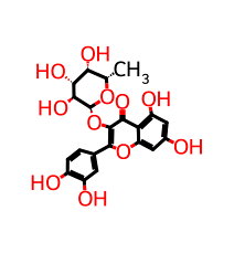 C[C@@H]1O[C@H](Oc2c(-c3ccc(O)c(O)c3)oc3cc(O)cc(O)c3c2=O)[C@@H](O)[C@H](O)[C@@H]1O